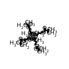 C=C(C)C(=O)OCCCC[Si]1(C)O[Si](C)(CCCOC(=O)C(=C)C)O[Si](C)(CCCOC(=O)C(=C)C)O[Si](C)(CCCOC(=O)C(=C)C)O1